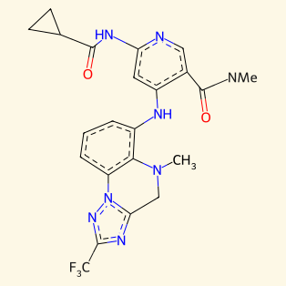 CNC(=O)c1cnc(NC(=O)C2CC2)cc1Nc1cccc2c1N(C)Cc1nc(C(F)(F)F)nn1-2